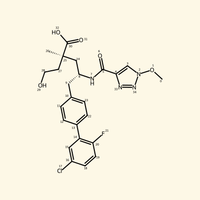 COn1cc(C(=O)N[C@H](Cc2ccc(-c3cc(Cl)ccc3F)cc2)C[C@@](C)(CCO)C(=O)O)nn1